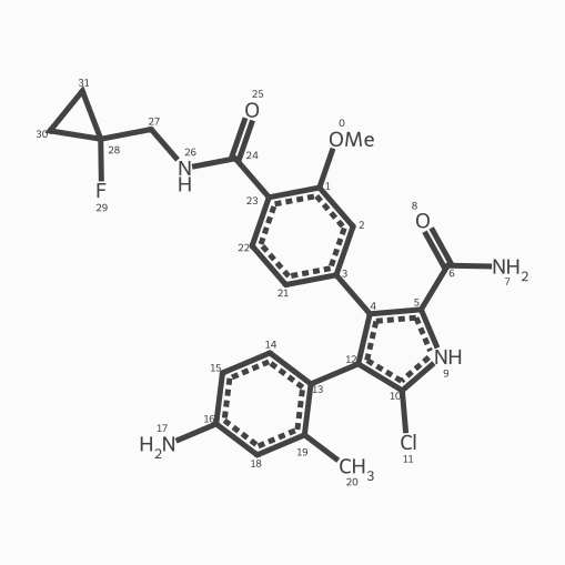 COc1cc(-c2c(C(N)=O)[nH]c(Cl)c2-c2ccc(N)cc2C)ccc1C(=O)NCC1(F)CC1